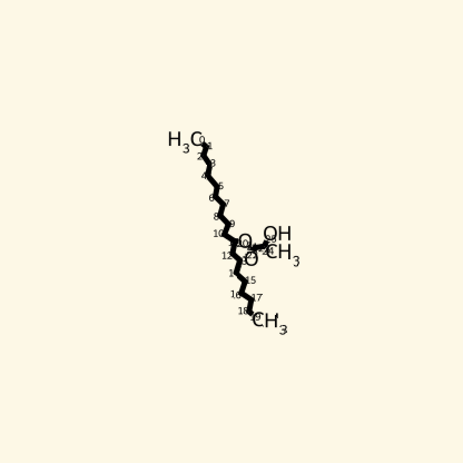 CCCCCCCCCCCC(CCCCCCCC)OC(=O)C(C)O